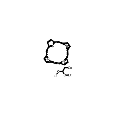 C1=Cc2cc3ccc(cc4nc(cc5ccc(cc1n2)[nH]5)C=C4)[nH]3.CCOC([CH2][Co])OCC